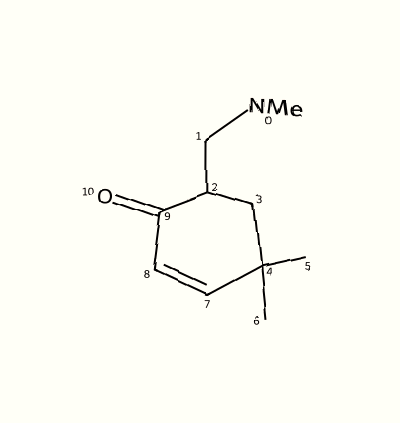 CNCC1CC(C)(C)C=CC1=O